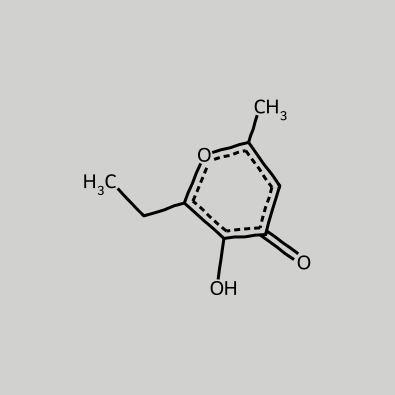 CCc1oc(C)cc(=O)c1O